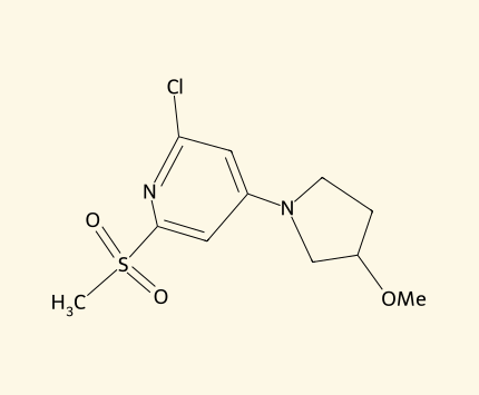 COC1CCN(c2cc(Cl)nc(S(C)(=O)=O)c2)C1